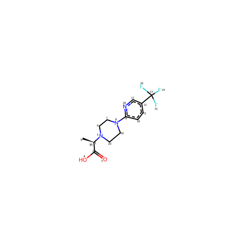 C[C@H](C(=O)O)N1CCN(c2ccc(C(F)(F)F)cn2)CC1